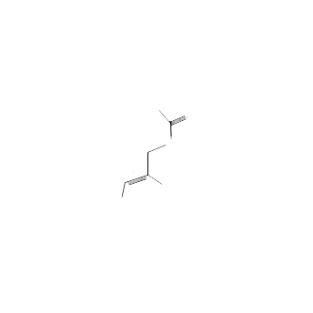 C/C=C(\C)COC(=O)[S]